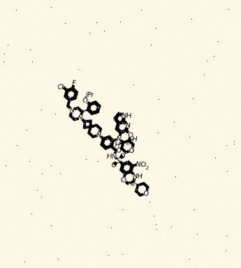 CC(C)Oc1ccccc1[C@@H]1CN(Cc2ccc(F)c(Cl)c2)CCN1C1CC2(CCN(c3ccc(C(=O)NS(=O)(=O)c4cc5c(c([N+](=O)[O-])c4)N[C@H](C4CCOCC4)CO5)c(N4c5cc6cc[nH]c6nc5O[C@H]5COCC[C@@H]54)c3)CC2)C1